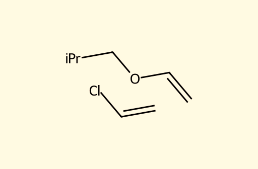 C=CCl.C=COCC(C)C